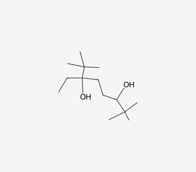 CCC(O)(CCC(O)C(C)(C)C)C(C)(C)C